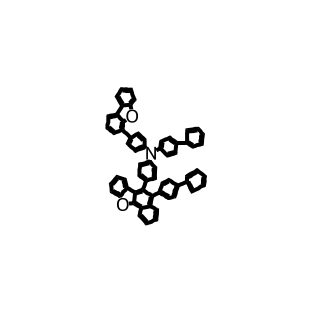 c1ccc(-c2ccc(-c3c(-c4ccc(N(c5ccc(-c6ccccc6)cc5)c5ccc(-c6cccc7c6oc6ccccc67)cc5)cc4)c4c5ccccc5oc4c4ccccc34)cc2)cc1